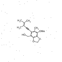 COc1c(C)c(C#CC(C)=C(C)C)c(CO)c2c1OCO2